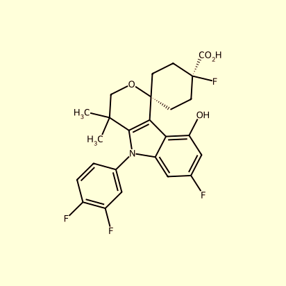 CC1(C)CO[C@]2(CC[C@@](F)(C(=O)O)CC2)c2c1n(-c1ccc(F)c(F)c1)c1cc(F)cc(O)c12